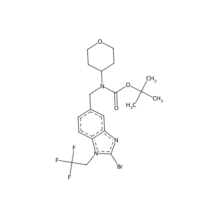 CC(C)(C)OC(=O)N(Cc1ccc2c(c1)nc(Br)n2CC(F)(F)F)C1CCOCC1